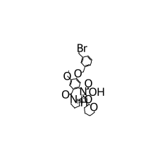 COc1cc2c(cc1OCc1cccc(CBr)c1)N(C(=O)O)[C@@H](OC1CCCCO1)[C@@H]1CCCN1C2=O